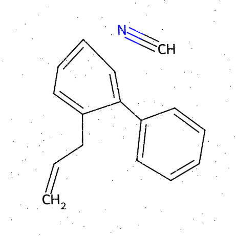 C#N.C=CCc1ccccc1-c1ccccc1